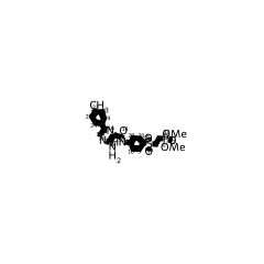 COP(=O)(CCS(=O)(=O)c1ccc(NC(=O)c2nc(-c3ccc(C)cc3)cnc2N)cc1)OC